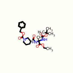 CCOC(=O)[C@@](C)(NC(=O)OC(C)(C)C)NC(=O)[C@@H]1CCCN(C(=O)OCc2ccccc2)C1